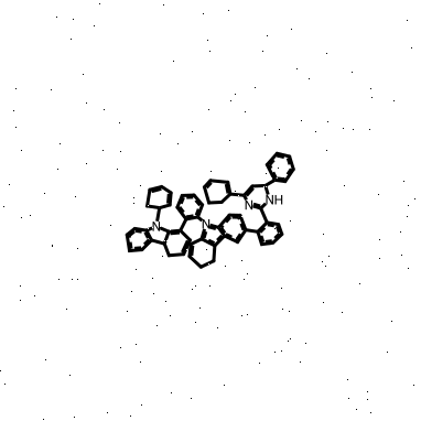 C1=CCCC(C2=CC(c3ccccc3)NC(c3ccccc3-c3ccc4c(c3)c3c(n4-c4ccccc4C4=C5C(CC=C4)c4ccccc4N5C4C=CC=CC4)C=CCC3)=N2)=C1